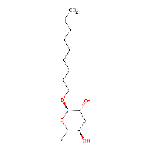 C[C@@H]1O[C@@H](OCCCCCCCCC(=O)O)[C@H](O)C[C@H]1O